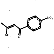 C/C(N)=C/C(=O)c1ccc([N+](=O)[O-])cc1